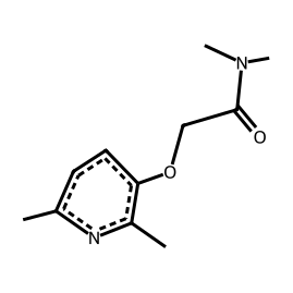 Cc1ccc(OCC(=O)N(C)C)c(C)n1